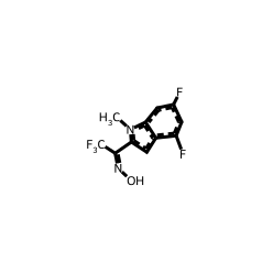 Cn1c(/C(=N\O)C(F)(F)F)cc2c(F)cc(F)cc21